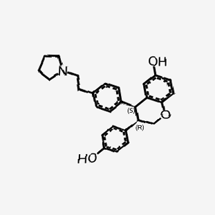 Oc1ccc([C@@H]2COc3ccc(O)cc3[C@@H]2c2ccc(CCN3CCCC3)cc2)cc1